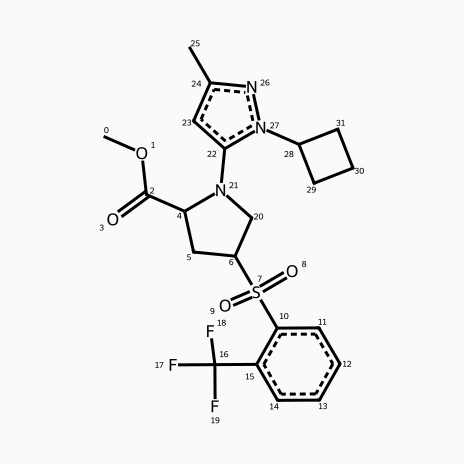 COC(=O)C1CC(S(=O)(=O)c2ccccc2C(F)(F)F)CN1c1cc(C)nn1C1CCC1